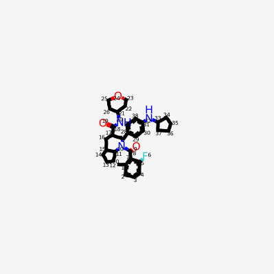 Cc1cccc(F)c1C(=O)N1C2CCCC2CC(C(=O)NC2CCOCC2)C1c1ccc(NC2CCCC2)cc1